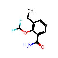 CCc1cccc(C(N)=O)c1OC(F)F